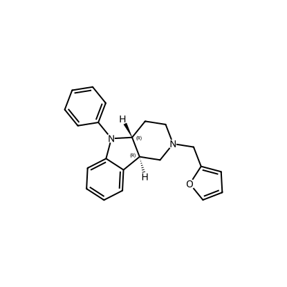 c1ccc(N2c3ccccc3[C@@H]3CN(Cc4ccco4)CC[C@H]32)cc1